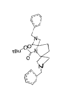 CC(C)(C)OC(=O)N1C2(CCC13CN(Cc1ccccc1)C3=O)CN(Cc1ccccc1)C2